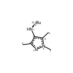 CC[C@H](C)Nc1c(C)nn(C)c1C